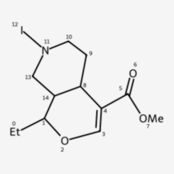 CCC1OC=C(C(=O)OC)C2CCN(I)CC12